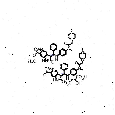 COC(=O)c1ccc2c(c1)NC(=O)/C2=C(\Nc1ccc(N(C)C(=O)CN2CCN(C)CC2)cc1)c1ccccc1.COC(=O)c1ccc2c(c1)NC(=O)/C2=C(\Nc1ccc(N(C)C(=O)CN2CCN(C)CC2)cc1)c1ccccc1.O.O=C(O)CC(O)C(=O)O